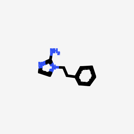 Nc1nccn1CCc1ccccc1